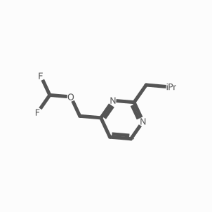 CC(C)Cc1n[c]cc(COC(F)F)n1